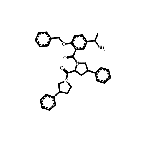 CC(N)c1ccc(OCc2ccccc2)c(C(=O)N2CC(c3ccccc3)CC2C(=O)N2CCC(c3ccccc3)C2)c1